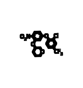 O=[N+]([O-])c1ccc(Oc2ccc(C(F)(F)F)cc2Cl)cc1OC1CCCOC1